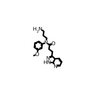 COc1cccc(N(CCCN)C(=O)CCC2=NNC3N=CC=CC23)c1